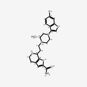 C[C@@H]1CN(c2csc3cc(F)ccc23)CCN1CCC1OCCc2cc(C(N)=O)sc21